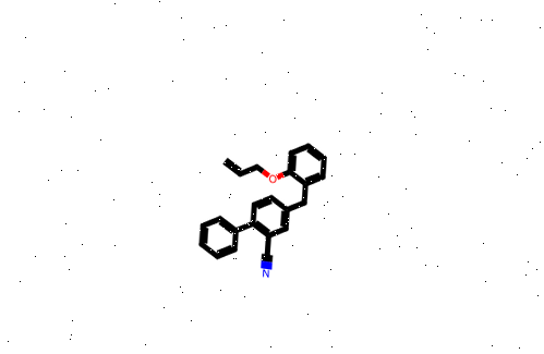 C=CCOc1ccccc1Cc1ccc(-c2ccccc2)c(C#N)c1